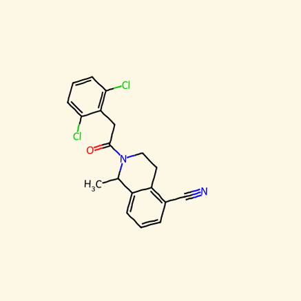 CC1c2cccc(C#N)c2CCN1C(=O)Cc1c(Cl)cccc1Cl